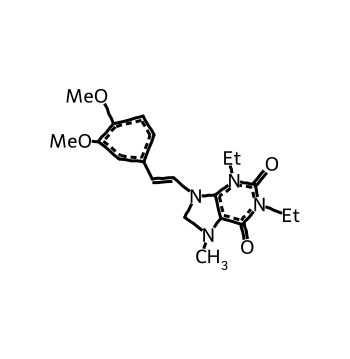 CCn1c2c(c(=O)n(CC)c1=O)N(C)CN2C=Cc1ccc(OC)c(OC)c1